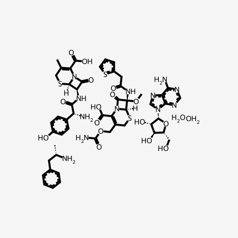 CC1=C(C(=O)O)N2C(=O)[C@@H](NC(=O)[C@H](N)c3ccc(O)cc3)[C@H]2SC1.CO[C@@]1(NC(=O)Cc2cccs2)C(=O)N2C(C(=O)O)=C(COC(N)=O)CS[C@@H]21.C[C@H](N)Cc1ccccc1.Nc1ncnc2c1ncn2[C@@H]1O[C@H](CO)[C@@H](O)[C@@H]1O.O.O